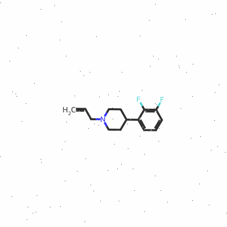 C=CCN1CCC(c2cccc(F)c2F)CC1